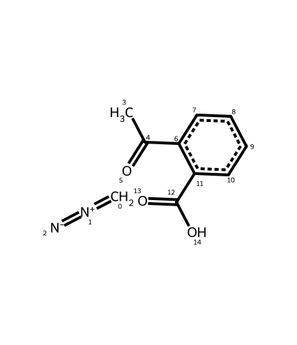 C=[N+]=[N-].CC(=O)c1ccccc1C(=O)O